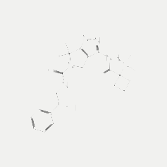 CC1(C)c2[nH]nc(NC(=O)C3(S(C)(C)C)CCC3)c2CN1C(=O)NC[C@H](O)c1ccccc1